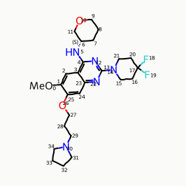 COc1cc2c(N[C@H]3CCCOC3)nc(N3CCC(F)(F)CC3)nc2cc1OCCCN1CCCC1